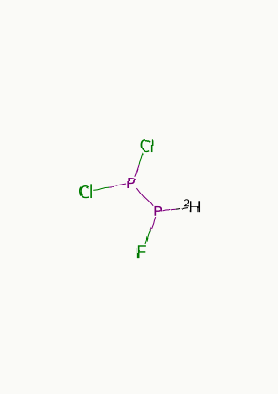 [2H]P(F)P(Cl)Cl